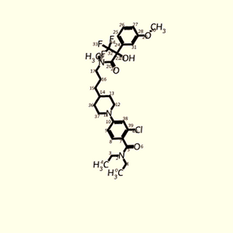 CCN(CC)C(=O)c1ccc(N2CCC(CCCN(C)C(=O)C(O)(c3cccc(OC)c3)C(F)(F)F)CC2)cc1Cl